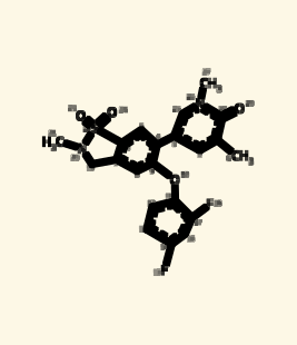 Cc1cc(-c2cc3c(cc2Oc2ccc(F)cc2F)CN(C)S3(=O)=O)cn(C)c1=O